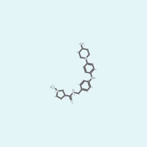 CC1CCN(c2ccc(Nc3ccc(CNC(=O)C4CCN(C)C4)cc3)cc2)CC1